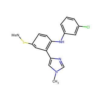 CNSc1ccc(Nc2cccc(Cl)c2)c(-c2cn(C)cn2)c1